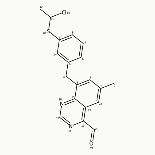 Cc1cc(Cc2cccc(SC(C)Cl)c2)c2ncnc(C=O)c2c1